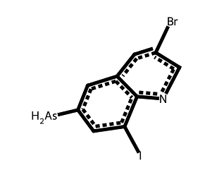 [AsH2]c1cc(I)c2ncc(Br)cc2c1